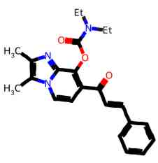 CCN(CC)C(=O)Oc1c(C(=O)C=Cc2ccccc2)ccn2c(C)c(C)nc12